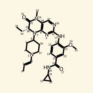 CC=CN1CCC(N2c3nc(Nc4ccc(C(=O)NC5CC5)cc4OC)ncc3N(C)C(=O)[C@H]2CC)CC1